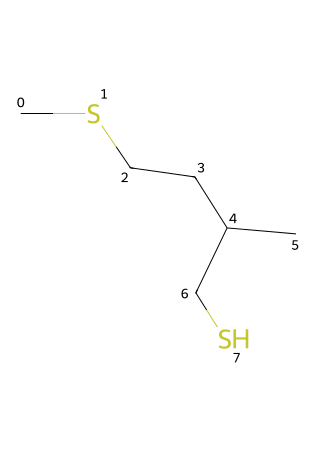 CSCCC(C)CS